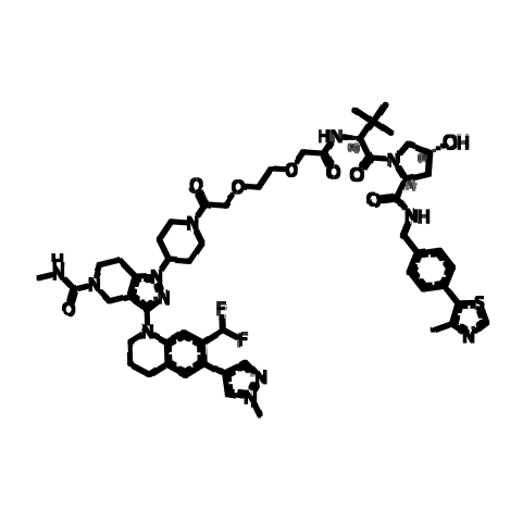 CNC(=O)N1CCc2c(c(N3CCCc4cc(-c5cnn(C)c5)c(C(F)F)cc43)nn2C2CCN(C(=O)COCCOCC(=O)N[C@H](C(=O)N3C[C@H](O)C[C@H]3C(=O)NCc3ccc(-c4scnc4C)cc3)C(C)(C)C)CC2)C1